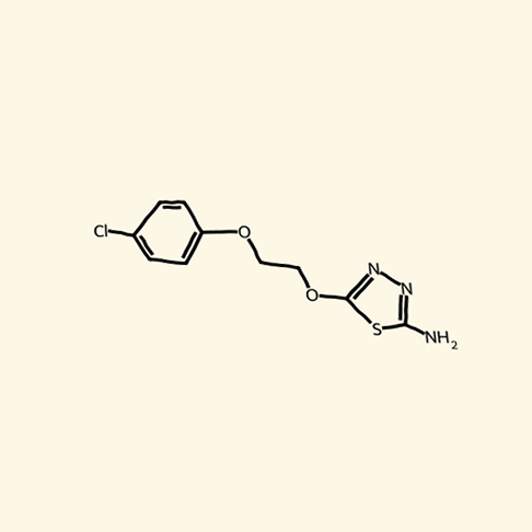 Nc1nnc(OCCOc2ccc(Cl)cc2)s1